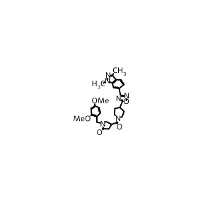 COc1ccc(CN2CC(C(=O)N3CCC(c4nc(-c5ccc6c(C)nn(C)c6c5)no4)CC3)CC2=O)c(OC)c1